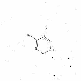 CC(C)C1=CNCN=C1C(C)C